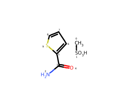 CS(=O)(=O)O.NC(=O)c1cccs1